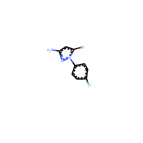 CCc1cc(N)nn1-c1ccc(Cl)cc1